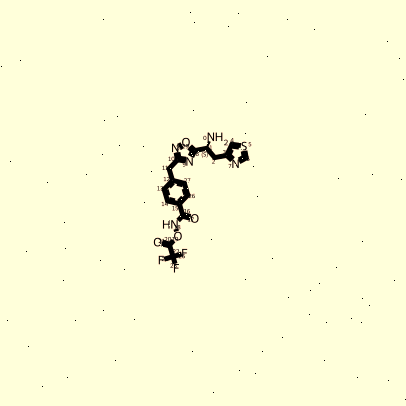 N[C@@H](Cc1cscn1)c1nc(Cc2ccc(C(=O)NOC(=O)C(F)(F)F)cc2)no1